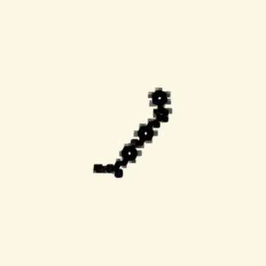 COC(=O)CCc1ccc(OCc2ccc(CSc3nc(-c4ccccc4)cs3)cc2)cc1